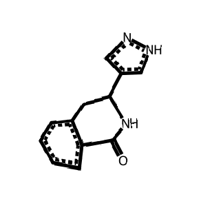 O=C1NC(c2cn[nH]c2)Cc2ccccc21